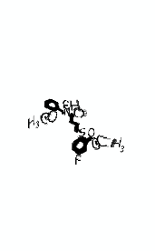 COC(=O)c1cc(F)ccc1SCCCC(=O)N(C)Cc1ccccc1OC